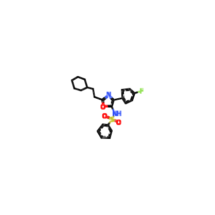 O=S(=O)(Nc1oc(CCC2CCCCC2)nc1-c1ccc(F)cc1)c1ccccc1